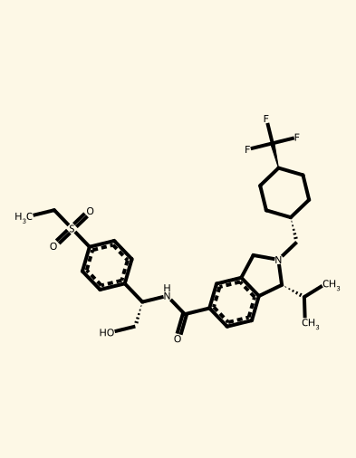 CCS(=O)(=O)c1ccc([C@@H](CO)NC(=O)c2ccc3c(c2)CN(C[C@H]2CC[C@H](C(F)(F)F)CC2)[C@@H]3C(C)C)cc1